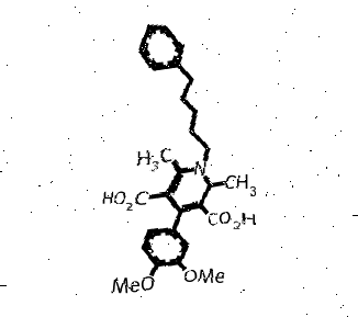 COc1ccc(C2=C(C(=O)O)C(C)N(CCCCCc3ccccc3)C(C)=C2C(=O)O)cc1OC